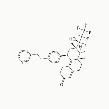 C[C@]12C[C@H](c3ccc(CCc4cccnc4)cc3)C3=C4CCC(=O)C=C4CC[C@H]3[C@@H]1CC[C@@]2(O)C(F)(F)C(F)(F)F